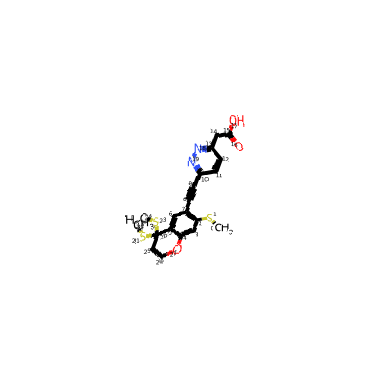 CSc1cc2c(cc1C#Cc1ccc(CC(=O)O)nn1)C(SC)(SC)CCO2